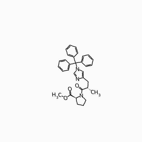 COC(=O)[C@@H]1CCCN1C(=O)[C@@H](C)Cc1cn(C(c2ccccc2)(c2ccccc2)c2ccccc2)cn1